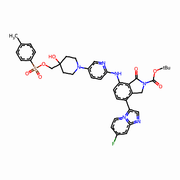 Cc1ccc(S(=O)(=O)OCC2(O)CCN(c3ccc(Nc4ccc(-c5cnc6cc(F)ccn56)c5c4C(=O)N(C(=O)OC(C)(C)C)C5)nc3)CC2)cc1